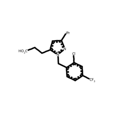 CC(C)c1cc(CCC(=O)O)n(Cc2ccc(C(F)(F)F)cc2Cl)n1